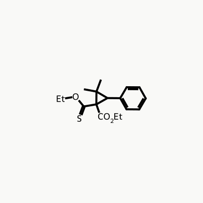 CCOC(=O)C1(C(=S)OCC)C(c2ccccc2)C1(C)C